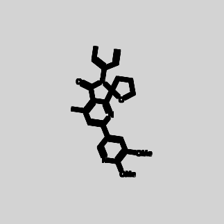 C=C/C(=C\C)N1C(=O)c2c(C)cc(-c3cnc(OC)c(OC)c3)nc2C12CCCO2